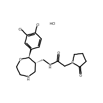 Cl.O=C(CN1CCCC1=O)NC[C@@H]1CNCCO[C@H]1c1ccc(Cl)c(Cl)c1